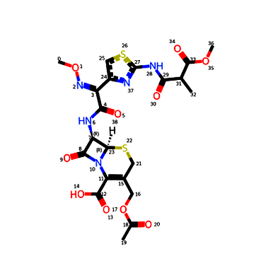 CON=C(C(=O)N[C@@H]1C(=O)N2C(C(=O)O)=C(COC(C)=O)CS[C@H]12)c1csc(NC(=O)C(C)C(=O)OC)n1